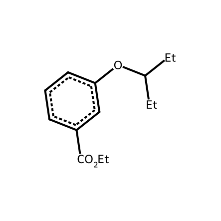 CCOC(=O)c1cccc(OC(CC)CC)c1